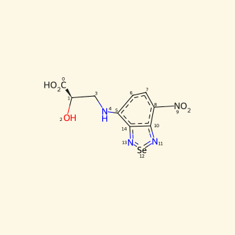 O=C(O)[C@H](O)CNc1ccc([N+](=O)[O-])c2n[se]nc12